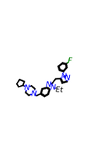 CCn1c(Cc2ccnn2-c2cccc(F)c2)nc2cc(CN3CCN(C4CCCC4)CC3)ccc21